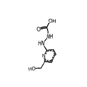 O=C(O)NNc1cccc(CO)n1